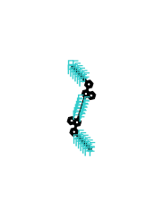 FC(F)(F)C(F)(F)C(F)(F)C(F)(F)C(F)(F)C(F)(F)c1cccc(-c2ccc(C(F)(F)C(F)(F)C(F)(F)C(F)(F)C(F)(F)C(F)(F)c3ccc(-c4cccc(C(F)(F)C(F)(F)C(F)(F)C(F)(F)C(F)(F)C(F)(F)F)c4)c4ccccc34)c3ccccc23)c1